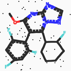 COc1nc2ncnn2c(C2CCCCC2F)c1-c1c(F)cc(F)cc1F